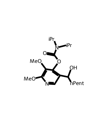 CCCCCC(O)c1cnc(OC)c(OC)c1OC(=O)N(C(C)C)C(C)C